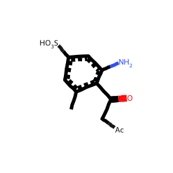 CC(=O)CC(=O)c1c(C)cc(S(=O)(=O)O)cc1N